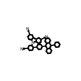 N#Cc1ccc(-c2ccc(-c3c4ccccc4c(-c4ccccc4)c4ccccc34)cc2)c(-n2c3ccc(C#N)cc3c3cc(C#N)ccc32)c1